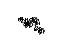 CC(C)NC1=C(C(=N)c2cncc(OC(F)(F)C(F)F)c2)CC[C@@H](C(=O)NC2(C)CCS(=O)(=O)CC2)C1